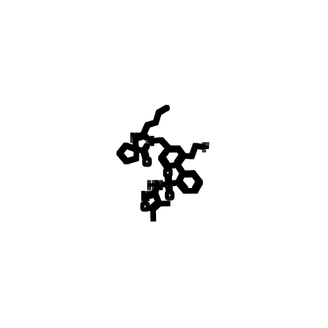 CCCCC1=NC2(CCCC2)C(=O)N1Cc1ccc(-c2ccccc2S(=O)(=O)Nc2noc(C)c2C)c(CCF)c1